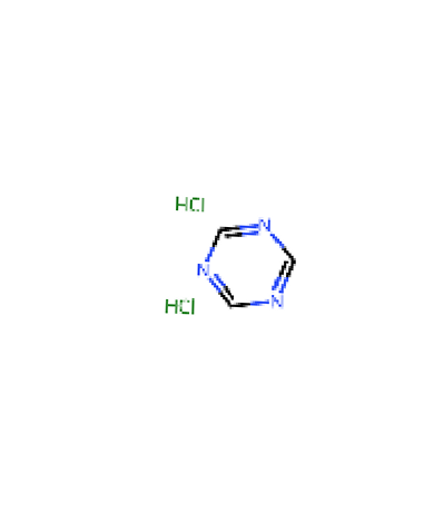 Cl.Cl.c1ncncn1